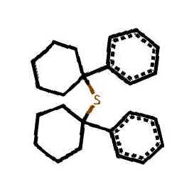 c1ccc(C2(SC3(c4ccccc4)CCCCC3)CCCCC2)cc1